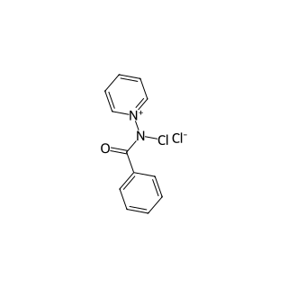 O=C(c1ccccc1)N(Cl)[n+]1ccccc1.[Cl-]